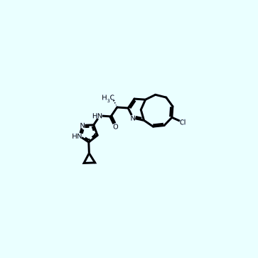 C[C@@H](C(=O)Nc1cc(C2CC2)[nH]n1)C1=CC2CC/C=C(Cl)\C=C/C(=N1)C2